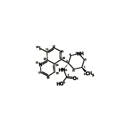 C[C@@H]1CNC[C@](NC(=O)O)(c2ccc(I)c3ncccc23)C1